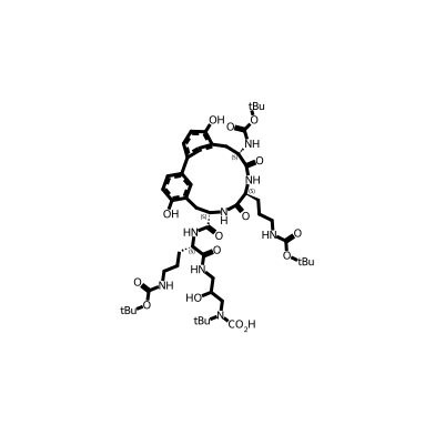 CC(C)(C)OC(=O)NCCC[C@H](NC(=O)[C@@H]1Cc2cc(ccc2O)-c2ccc(O)c(c2)C[C@H](NC(=O)OC(C)(C)C)C(=O)N[C@@H](CCCNC(=O)OC(C)(C)C)C(=O)N1)C(=O)NCC(O)CN(C(=O)O)C(C)(C)C